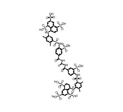 Cc1cc(C)c(S(=O)(=O)Nc2ccc(C(=O)NC(=O)NC(=O)c3ccc(NS(=O)(=O)c4cc(Nc5ccc(S(=O)(=O)O)c6cc(S(=O)(=O)O)cc(S(=O)(=O)O)c56)c(C)cc4C)c(S(=O)(=O)O)c3)cc2S(=O)(=O)O)cc1Nc1ccc(S(=O)(=O)O)c2cc(S(=O)(=O)O)cc(S(=O)(=O)O)c12